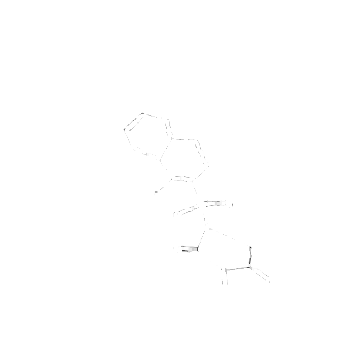 O=C1CN(S(=O)(=O)c2ccc3ccccc3c2F)C(=O)N1